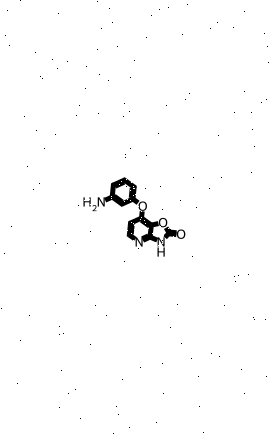 Nc1cccc(Oc2ccnc3[nH]c(=O)oc23)c1